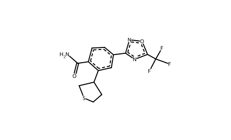 NC(=O)c1ccc(-c2noc(C(F)(F)F)n2)cc1C1CCSC1